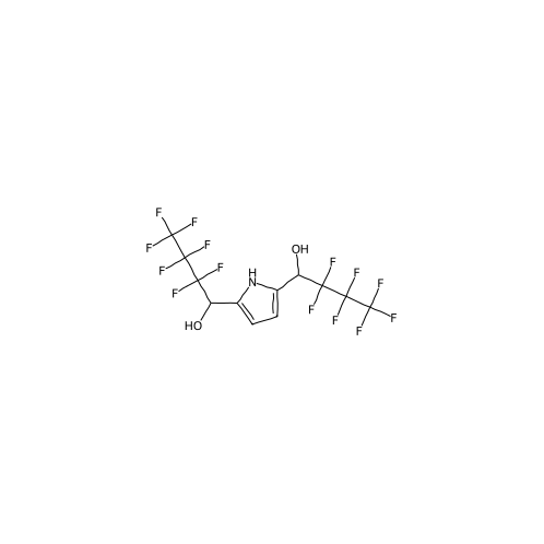 OC(c1ccc(C(O)C(F)(F)C(F)(F)C(F)(F)F)[nH]1)C(F)(F)C(F)(F)C(F)(F)F